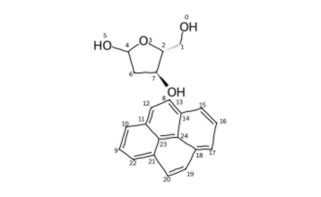 OC[C@H]1OC(O)C[C@@H]1O.c1cc2ccc3cccc4ccc(c1)c2c34